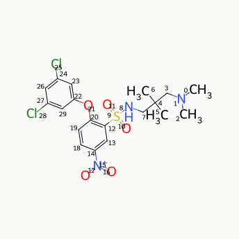 CN(C)CC(C)(C)CNS(=O)(=O)c1cc([N+](=O)[O-])ccc1Oc1cc(Cl)cc(Cl)c1